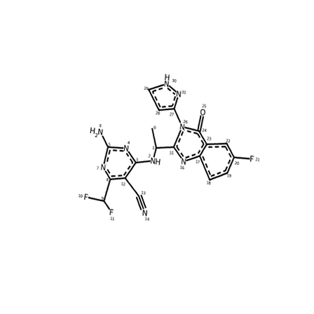 CC(Nc1nc(N)nc(C(F)F)c1C#N)c1nc2ccc(F)cc2c(=O)n1-c1cc[nH]n1